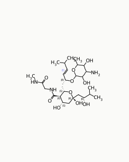 CNC(=O)CNC(=O)[C@H]1[C@H](C[C@H](/C=C/C(C)C)OC2OC(C)C(O)C(N)C2O)O[C@](O)(C[C@@H](O)C(C)C)C[C@@H]1O